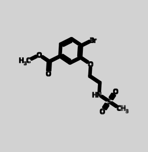 COC(=O)c1ccc(Br)c(OCCNS(C)(=O)=O)c1